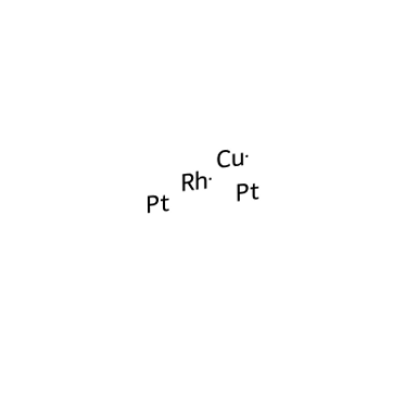 [Cu].[Pt].[Pt].[Rh]